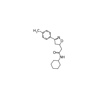 Cc1ccc(C2=NOC(CC(=O)NC3CCCCC3)C2)cc1